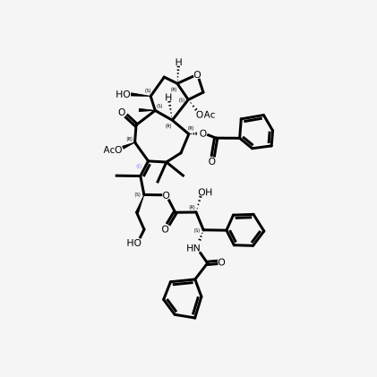 CC(=O)O[C@H]1C(=O)[C@@]2(C)[C@H]([C@H](OC(=O)c3ccccc3)CC(C)(C)/C1=C(/C)[C@H](CCO)OC(=O)[C@H](O)[C@@H](NC(=O)c1ccccc1)c1ccccc1)[C@]1(OC(C)=O)CO[C@@H]1C[C@@H]2O